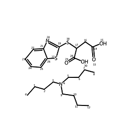 CCCCN(CCCC)CCCC.O=C(O)CC(Sc1nc2ccccc2s1)C(=O)O